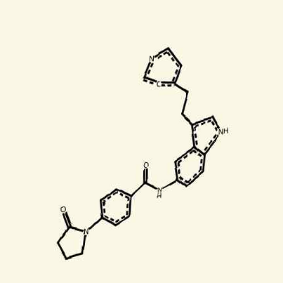 O=C(Nc1ccc2[nH]cc(CCc3ccncc3)c2c1)c1ccc(N2CCCC2=O)cc1